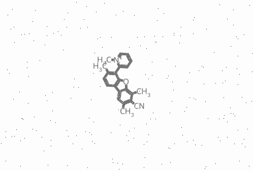 Cc1cc2c(oc3c(-c4cccc[n+]4C)c(C)ccc32)c(C)c1C#N